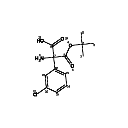 CC(C)(C)OC(=O)C(N)(C(=O)O)c1cccc(Cl)c1